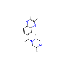 Cc1nc2ccc(C(C)N3C[C@H](C)NC[C@H]3C)cc2nc1C